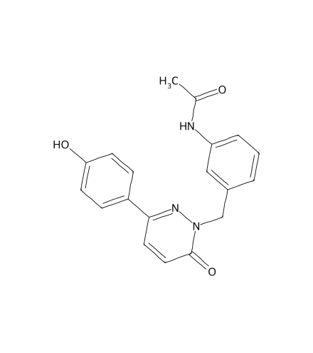 CC(=O)Nc1cccc(Cn2nc(-c3ccc(O)cc3)ccc2=O)c1